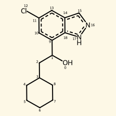 OC(CC1CCCCC1)c1cc(Cl)cc2cn[nH]c12